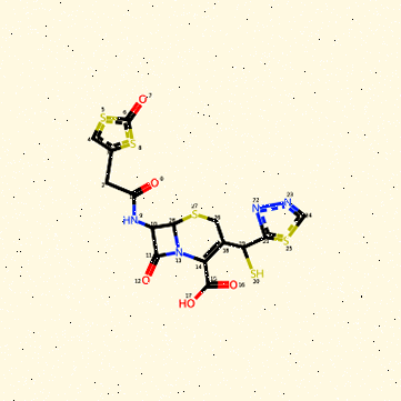 O=C(Cc1csc(=O)s1)NC1C(=O)N2C(C(=O)O)=C(C(S)c3nncs3)CSC12